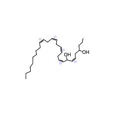 CCCCCCCCC/C=C\C/C=C\C/C=C\C/C=C\C(O)/C=C\CC(O)CCC